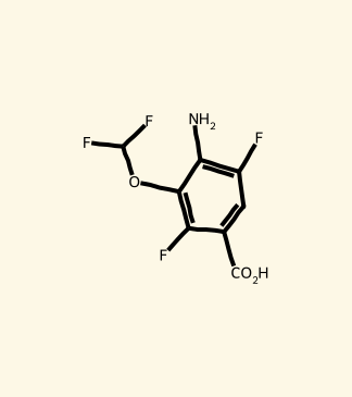 Nc1c(F)cc(C(=O)O)c(F)c1OC(F)F